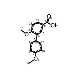 COc1ccc(-c2cc(C(=O)O)ccc2OC)cc1